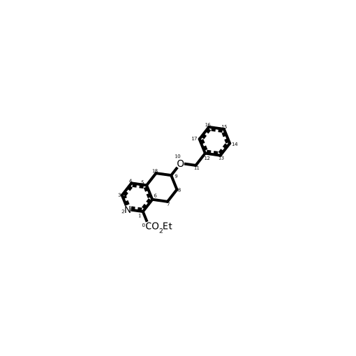 CCOC(=O)c1nccc2c1CCC(OCc1ccccc1)C2